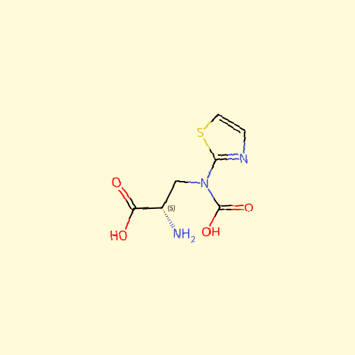 N[C@@H](CN(C(=O)O)c1nccs1)C(=O)O